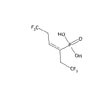 O=P(O)(O)/C(=C\CC(F)(F)F)CC(F)(F)F